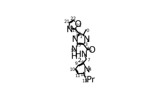 Cc1nc(C(=O)NCc2cccc(C(C)C)n2)c(N)nc1-c1ncco1